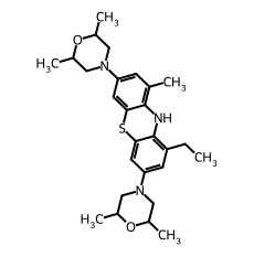 CCc1cc(N2CC(C)OC(C)C2)cc2c1Nc1c(C)cc(N3CC(C)OC(C)C3)cc1S2